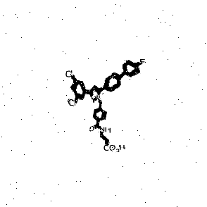 O=C(O)CCNC(=O)c1ccc(Cn2nc(-c3cc(Cl)cc(Cl)c3)cc2-c2ccc(-c3ccc(F)cc3)cc2)cc1